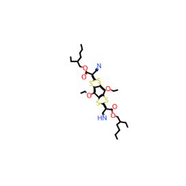 CCCCC(CC)COC(=O)C(C#N)=C1Sc2c(OCC)c3c(c(OCC)c2S1)SC(=C(C=N)C(=O)OCC(CC)CCCC)S3